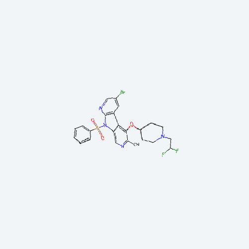 N#Cc1ncc2c(c1OC1CCN(CC(F)F)CC1)c1cc(Br)cnc1n2S(=O)(=O)c1ccccc1